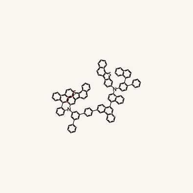 c1ccc(-c2cc(-c3ccc(-c4ccc5c(-c6ccc(N(c7ccc(-c8ccccc8)c(-c8cccc9ccccc89)c7)c7ccc8c(c7)sc7c9ccccc9ccc87)c7ccccc67)cc6ccccc6c5c4)cc3)cc(N(c3ccc4sc5c6ccccc6ccc5c4c3)c3ccccc3-c3cc4ccccc4c4ccccc34)c2)cc1